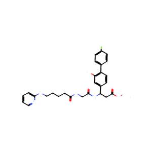 COC(=O)CC(NC(=O)CNC(=O)CCCCNc1ccccn1)c1ccc(-c2ccc(F)cc2)c(O)c1